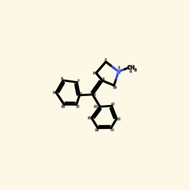 CN1CCC(=C(c2ccccc2)c2ccccc2)C1